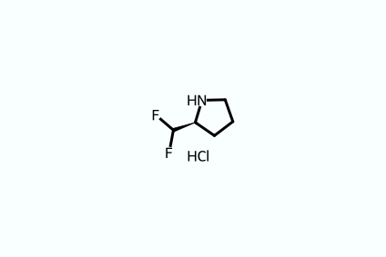 Cl.FC(F)[C@@H]1CCCN1